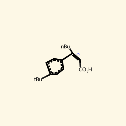 CCCC/C(=C/C(=O)O)c1ccc(C(C)(C)C)cc1